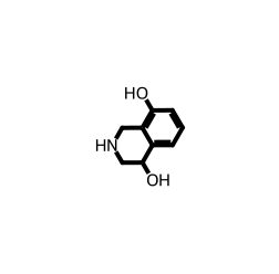 Oc1cccc2c1CNCC2O